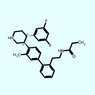 CCC(=O)NCCc1ccccc1-c1ccc([C@H]2CNCC[C@@H]2c2cc(F)cc(F)c2)c(C)c1